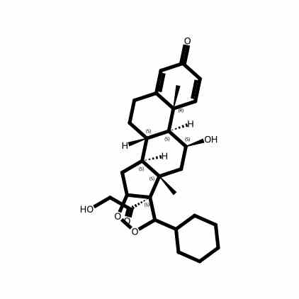 C[C@]12C=CC(=O)C=C1CC[C@@H]1[C@@H]2[C@@H](O)C[C@@]2(C)[C@H]1CC1OOC(C3CCCCC3)[C@@]12C(=O)CO